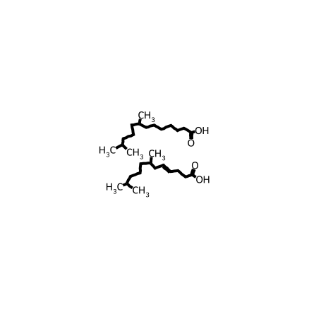 CC(C)CCCC(C)CC=CCCC(=O)O.CC(C)CCCC(C)CCCCCCC(=O)O